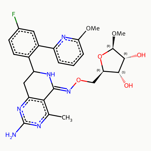 COc1cccc(-c2cc(F)ccc2C2Cc3nc(N)nc(C)c3C(=NOC[C@H]3O[C@@H](OC)[C@H](O)[C@@H]3O)N2)n1